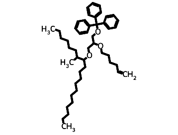 C=CCCCCOC(COC(CCCCCCCCCCC)C(C)CCCCCC)COC(c1ccccc1)(c1ccccc1)c1ccccc1